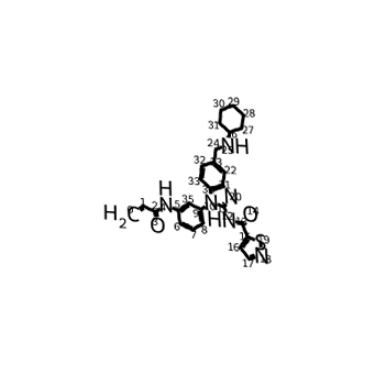 C=CC(=O)Nc1cccc(-n2c(NC(=O)c3ccns3)nc3cc(CNC4CCCCC4)ccc32)c1